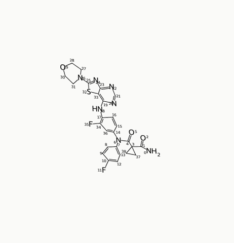 NC(=O)C1(C(=O)N(c2ccc(F)cc2)c2ccc(Nc3ncnc4nc(N5CCOCC5)sc34)c(F)c2)CC1